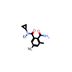 CCN(C(=O)c1cc(C#N)cc(C)c1C(N)=O)C1CC1